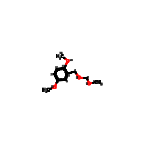 COCO[CH]c1cc(OC)ccc1OC